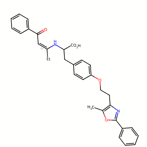 CC/C(=C/C(=O)c1ccccc1)NC(Cc1ccc(OCCc2nc(-c3ccccc3)oc2C)cc1)C(=O)O